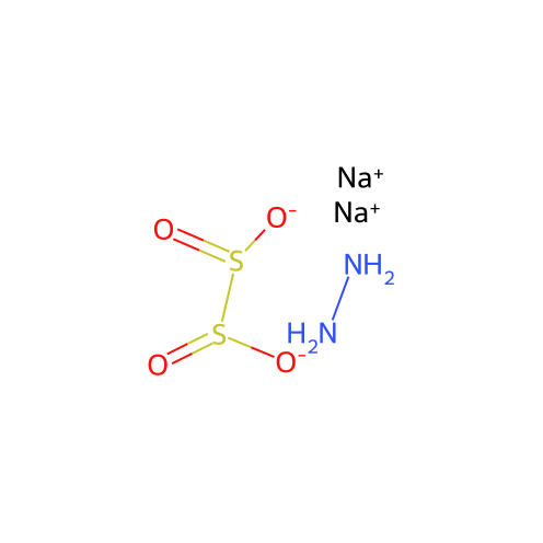 NN.O=S([O-])S(=O)[O-].[Na+].[Na+]